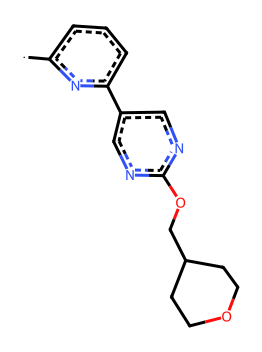 [CH2]c1cccc(-c2cnc(OCC3CCOCC3)nc2)n1